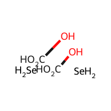 O=C(O)O.O=C(O)O.[SeH2].[SeH2]